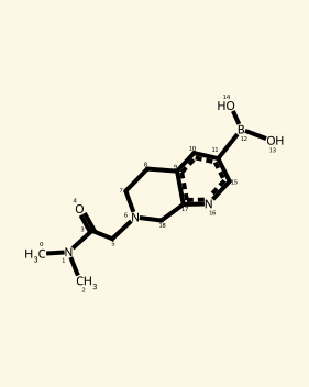 CN(C)C(=O)CN1CCc2cc(B(O)O)cnc2C1